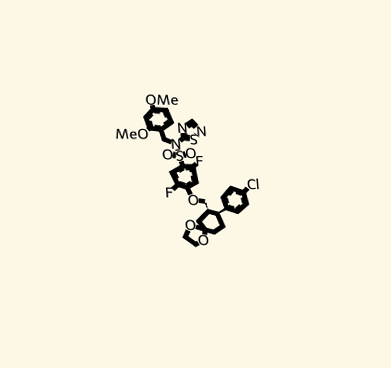 COc1ccc(CN(c2ncns2)S(=O)(=O)c2cc(F)c(OC[C@H]3CC4(CC[C@@H]3c3ccc(Cl)cc3)OCCO4)cc2F)c(OC)c1